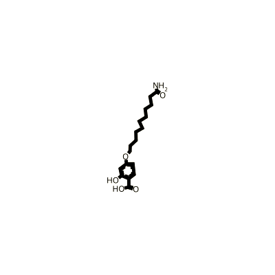 NC(=O)CCCCCCCCCCOc1ccc(C(=O)O)c(O)c1